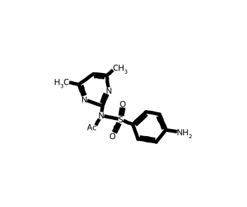 CC(=O)N(c1nc(C)cc(C)n1)S(=O)(=O)c1ccc(N)cc1